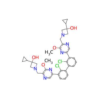 COc1nc(-c2cccc(-c3cccc(-c4cnc(CN5CC(O)(C6CC6)C5)c(OC)n4)c3Cl)c2Cl)cnc1CN1CC(O)(C2CC2)C1